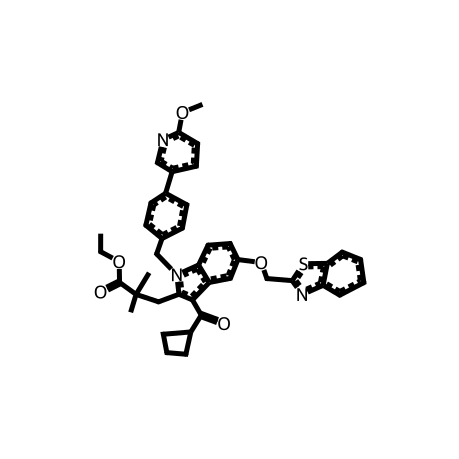 CCOC(=O)C(C)(C)Cc1c(C(=O)C2CCC2)c2cc(OCc3nc4ccccc4s3)ccc2n1Cc1ccc(-c2ccc(OC)nc2)cc1